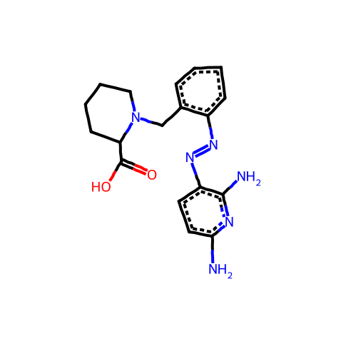 Nc1ccc(/N=N/c2ccccc2CN2CCCCC2C(=O)O)c(N)n1